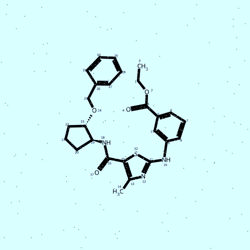 CCOC(=O)c1cccc(Nc2nc(C)c(C(=O)N[C@H]3CCC[C@@H]3OCc3ccccc3)s2)c1